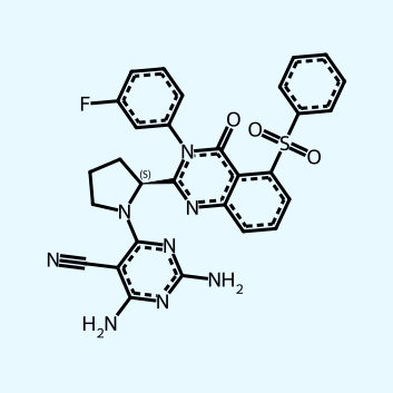 N#Cc1c(N)nc(N)nc1N1CCC[C@H]1c1nc2cccc(S(=O)(=O)c3ccccc3)c2c(=O)n1-c1cccc(F)c1